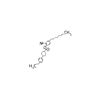 CCCCCCCCCc1ccc(OC(=O)C2CCC(c3ccc(CCC)cc3)CC2)c(C#N)c1